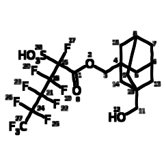 O=C(OCC12CC3CC(CC(CO)(C3)C1)C2)C(F)(C(F)(F)C(F)(F)C(F)(F)C(F)(F)F)S(=O)(=O)O